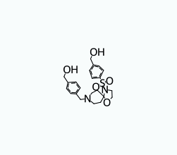 O=S(=O)(c1ccc(CO)cc1)N1CCOC12CCN(Cc1ccc(CO)cc1)CC2